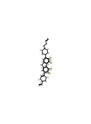 C=CCCC1CCC(c2cc3c(c(F)c2F)-c2c(cc(C4=CCC(C=C)CC4)c(F)c2F)C3)CC1